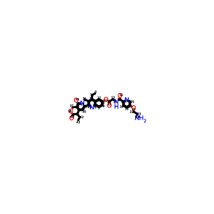 CCc1c2c(nc3ccc(OC(=O)CNC(=O)c4ccc(OCCN)cn4)cc13)-c1cc3c(c(=O)n1C2)COC(=O)C3CC